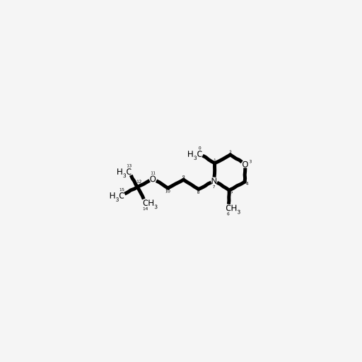 CC1COCC(C)N1CCCOC(C)(C)C